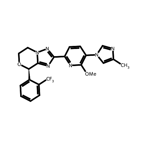 COc1nc(-c2nc3n(n2)CCO[C@@H]3c2ccccc2C(F)(F)F)ccc1-n1cnc(C)c1